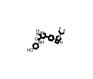 Nc1ncc(-c2ccc([C@@]34CC[C@@H]3CN(C(CF)CF)C4)cc2)cc1C(=O)N[C@H]1CC[C@H](O)CC1